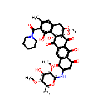 CO[C@@H]1[C@@H](O)[C@@H](OC)[C@@H](NC2=CC(=O)c3c(cc4c(c3O)C(=O)[C@]3(OC)[C@H](O)Cc5cc(C)c(C(=O)N6CCCCC6)c(O)c5[C@]3(O)C4=O)C2=O)O[C@H]1C